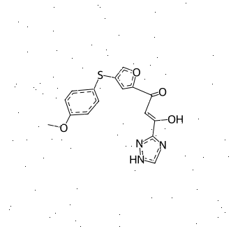 COc1ccc(Sc2coc(C(=O)C=C(O)c3nc[nH]n3)c2)cc1